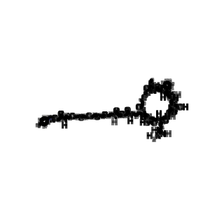 CCNC(=O)[C@@H]1CSCCCC(=O)N[C@@H](CCCCNC(=O)COCC(=O)NCCOCCOCCOCCOCCOCCNC(=O)CO/N=C/c2ccc(I)cc2)C(=O)N[C@@H](CS)C(=O)N[C@@H](CCCNC(=N)N)C(=O)NCC(=O)N[C@@H](CC(=O)O)C(=O)N[C@@H](CS)C(=O)N[C@@H](Cc2ccccc2)C(=O)N1